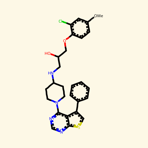 COc1ccc(OCC(O)CNC2CCN(c3ncnc4scc(-c5ccccc5)c34)CC2)c(Cl)c1